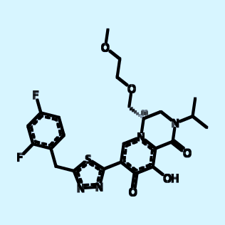 COCCOC[C@@H]1CN(C(C)C)C(=O)c2c(O)c(=O)c(-c3nnc(Cc4ccc(F)cc4F)s3)cn21